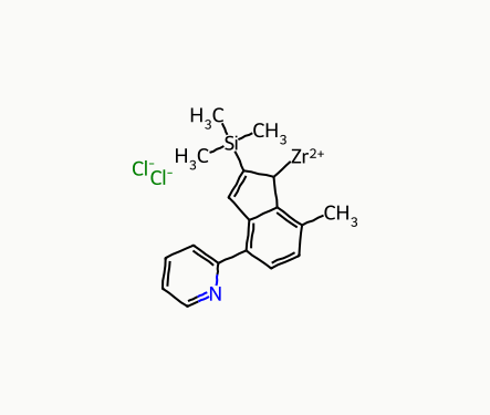 Cc1ccc(-c2ccccn2)c2c1[CH]([Zr+2])C([Si](C)(C)C)=C2.[Cl-].[Cl-]